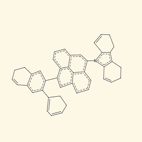 C1=CCCC(c2cc3c(cc2-c2cc4cccc5c(-n6c7c(c8c6C=CCC8)CCC=C7)cc6cccc2c6c45)CCC=C3)=C1